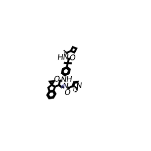 C[C@H](NC(=O)C(C)(C)c1ccc(NC(=O)C(/C=N/C(=O)c2ccnn2C)C2c3ccccc3CC23CC3)cc1)C1CCC1